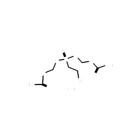 CC(C)(C)C(=O)OCOP(=O)(CCN)OCOC(=O)C(C)(C)C.Cl